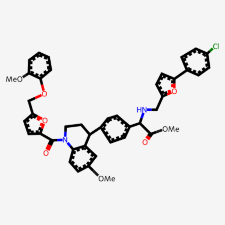 COC(=O)C(NCc1ccc(-c2ccc(Cl)cc2)o1)c1ccc(C2CCN(C(=O)c3ccc(COc4ccccc4OC)o3)c3ccc(OC)cc32)cc1